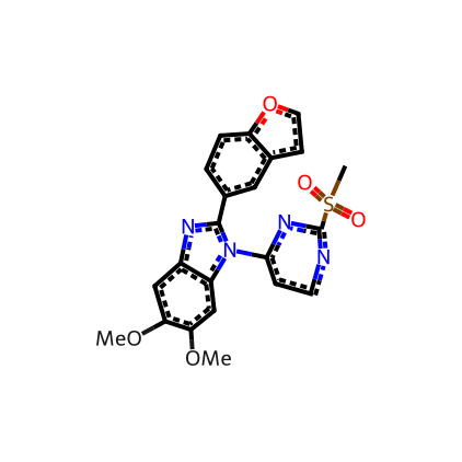 COc1cc2nc(-c3ccc4occc4c3)n(-c3ccnc(S(C)(=O)=O)n3)c2cc1OC